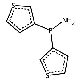 NP(c1ccsc1)c1ccsc1